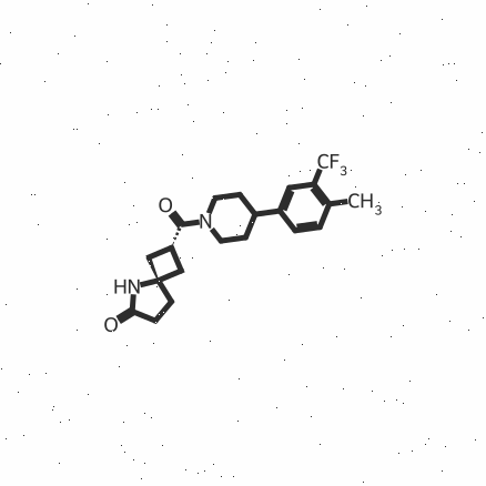 Cc1ccc(C2CCN(C(=O)[C@H]3C[C@]4(CCC(=O)N4)C3)CC2)cc1C(F)(F)F